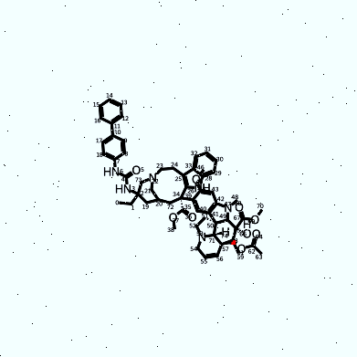 CCC1(NC(=O)Nc2ccc(-c3ccccc3)cc2)CC2CN(CCc3c([nH]c4ccccc34)[C@@](C(=O)OC)(c3cc4c(cc3OC)N(C)C3[C@]45CCN4CC=C[C@@](CC)([C@@H](OC(C)=O)[C@]3(O)C(=O)OC)[C@H]45)C2)C1